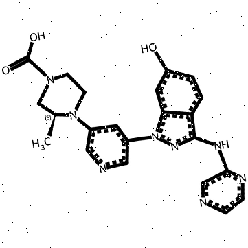 C[C@H]1CN(C(=O)O)CCN1c1cncc(-n2nc(Nc3cnccn3)c3ccc(O)cc32)c1